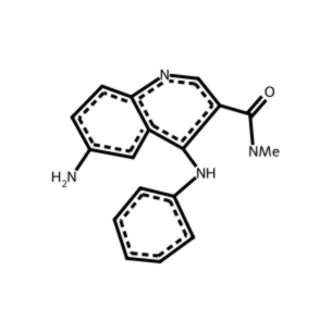 CNC(=O)c1cnc2ccc(N)cc2c1Nc1ccccc1